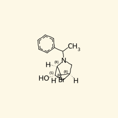 CC(c1ccccc1)N1C[C@H]2C[C@H](O)[C@@H]1[C@@H]2Br